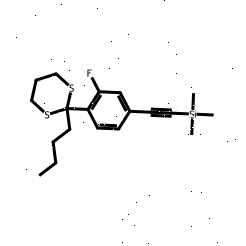 CCCCC1(c2ccc(C#C[Si](C)(C)C)cc2F)SCCCS1